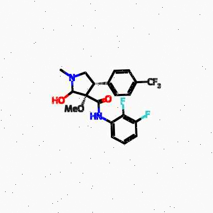 CO[C@]1(C(=O)Nc2cccc(F)c2F)C(O)N(C)C[C@@H]1c1ccc(C(F)(F)F)cc1